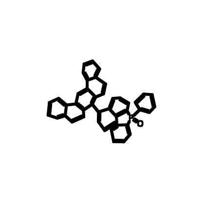 O=P(c1ccccc1)(c1ccccc1)c1cccc2c(-c3c4ccc5ccccc5c4cc4c3ccc3ccccc34)cccc12